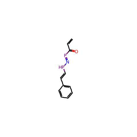 C=CC(=O)P=NPC=Cc1ccccc1